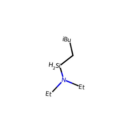 CCC(C)C[SiH2]N(CC)CC